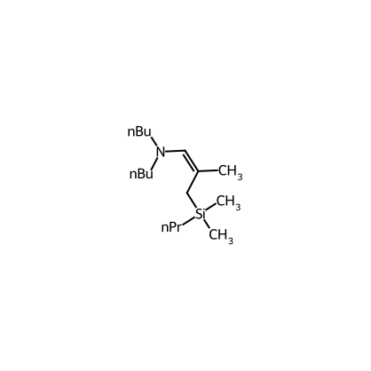 CCCCN(C=C(C)C[Si](C)(C)CCC)CCCC